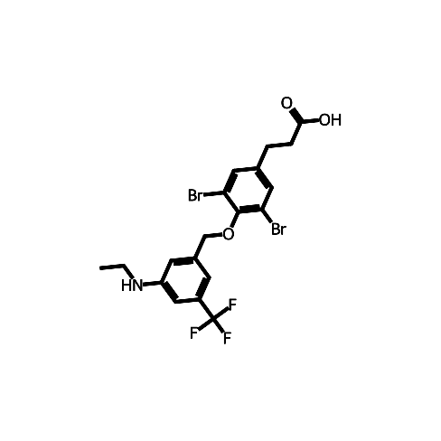 CCNc1cc(COc2c(Br)cc(CCC(=O)O)cc2Br)cc(C(F)(F)F)c1